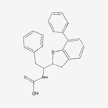 O=C(O)NC(Cc1ccccc1)C1Cc2cccc(-c3ccccc3)c2O1